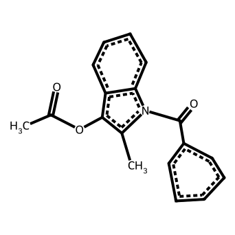 CC(=O)Oc1c(C)n(C(=O)c2ccccc2)c2ccccc12